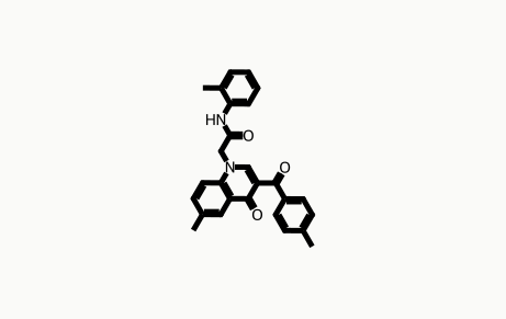 Cc1ccc(C(=O)c2cn(CC(=O)Nc3ccccc3C)c3ccc(C)cc3c2=O)cc1